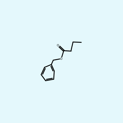 CC[C]C(=O)OCc1ccccc1